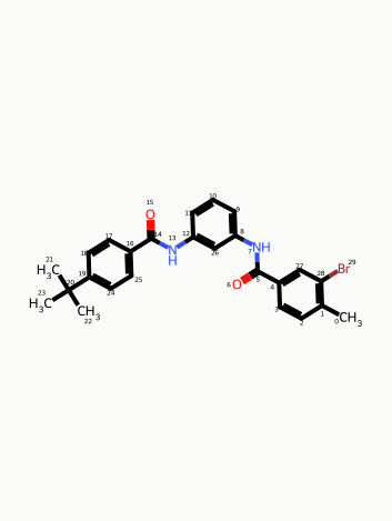 Cc1ccc(C(=O)Nc2cccc(NC(=O)c3ccc(C(C)(C)C)cc3)c2)cc1Br